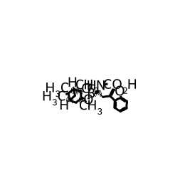 CC1(C)[C@H]2C[C@@H]1[C@]1(C)OB([C@H](Cc3coc4ccccc34)NC(=O)O)O[C@]1(C)C2